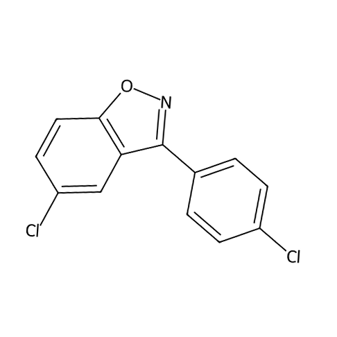 Clc1ccc(-c2noc3ccc(Cl)cc23)cc1